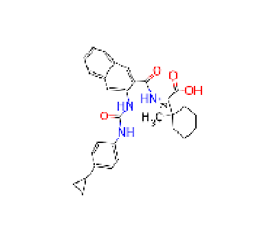 CC1([C@H](NC(=O)c2cc3ccccc3cc2NC(=O)Nc2ccc(C3CC3)cc2)C(=O)O)CCCCC1